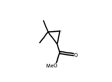 COC(=O)C1[CH]C1(C)C